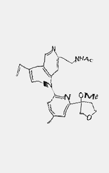 C=Cc1cn(-c2cc(C)cc(C3(OC)CCOC3)n2)c2cc(NC(C)=O)ncc12